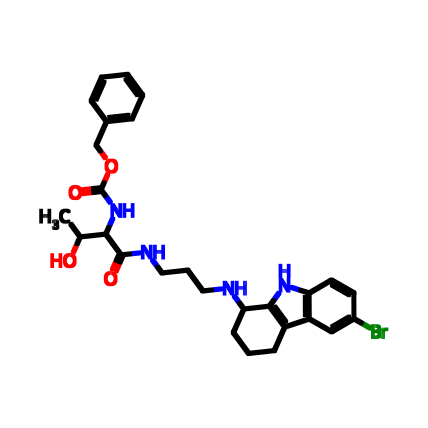 CC(O)C(NC(=O)OCc1ccccc1)C(=O)NCCCNC1CCCc2c1[nH]c1ccc(Br)cc21